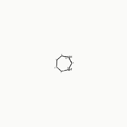 C1CSCNCN1